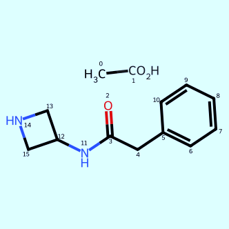 CC(=O)O.O=C(Cc1ccccc1)NC1CNC1